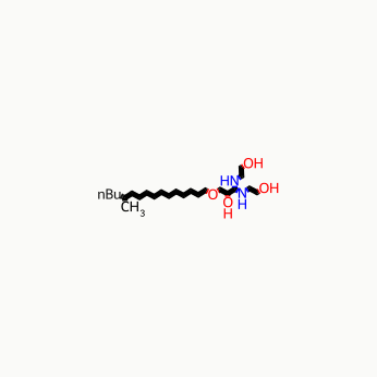 CCCCC(C)CCCCCCCCCCCOCC(O)C(NCCO)NCCO